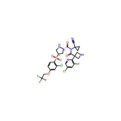 N#CC1(N(C(=O)[C@@H]2C[C@@H](S(=O)(=O)c3ccc(OCC(F)(F)F)cc3Cl)CN2)C(=O)C2(c3ncc(Cl)cc3F)CNC2)CC1